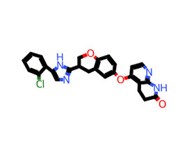 O=C1CCc2c(Oc3ccc4c(c3)CC(c3ncc(-c5ccccc5Cl)[nH]3)CO4)ccnc2N1